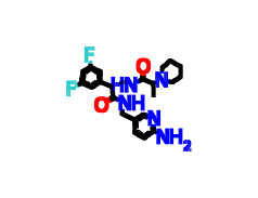 CC(C(=O)NC[C@H](C(=O)NCc1ccc(N)nc1)c1cc(F)cc(F)c1)N1CCCCC1